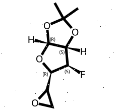 CC1(C)O[C@H]2O[C@H](C3CO3)[C@H](F)[C@H]2O1